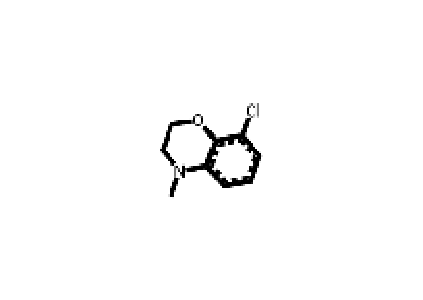 CN1CCOc2c(Cl)cccc21